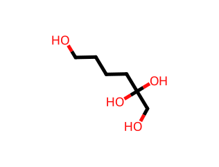 OCCCCC(O)(O)CO